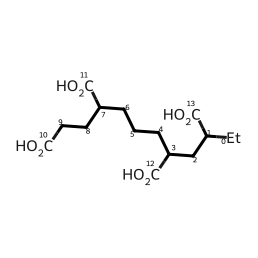 CCC(CC(CCCC(CCC(=O)O)C(=O)O)C(=O)O)C(=O)O